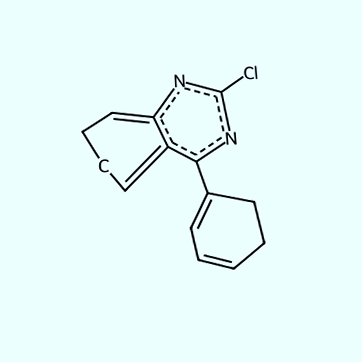 Clc1nc(C2=CC=CCC2)c2c(n1)=CCCC=2